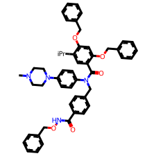 CC(C)c1cc(C(=O)N(Cc2ccc(C(=O)NOCc3ccccc3)cc2)c2ccc(N3CCN(C)CC3)cc2)c(OCc2ccccc2)cc1OCc1ccccc1